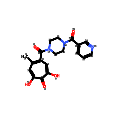 Cc1cc(O)c(=O)c(O)cc1C(=O)N1CCN(C(=O)c2cccnc2)CC1